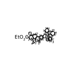 CCOC(=O)c1cn(C2CC2)c2c(OC(F)F)c(-c3ccc4c(c3)CN(C(c3ccccc3)(c3ccccc3)c3ccccc3)[C@@H]4C)ccc2c1=O